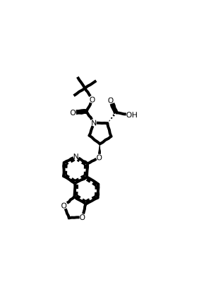 CC(C)(C)OC(=O)N1C[C@H](Oc2nccc3c4c(ccc23)OCO4)C[C@H]1C(=O)O